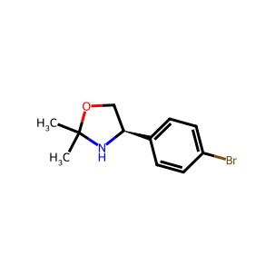 CC1(C)N[C@H](c2ccc(Br)cc2)CO1